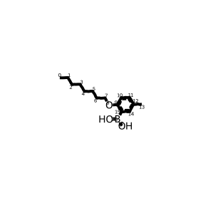 CCCCCCCCOc1ccc(C)cc1B(O)O